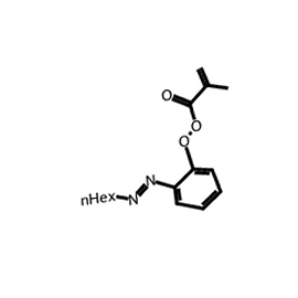 C=C(C)C(=O)OOc1ccccc1N=NCCCCCC